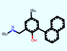 CC(C)(C)NCc1cc(C(C)(C)C)cc(-c2cccc3ccccc23)c1O